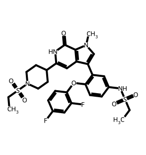 CCS(=O)(=O)Nc1ccc(Oc2ccc(F)cc2F)c(-c2cn(C)c3c(=O)[nH]c(C4CCN(S(=O)(=O)CC)CC4)cc23)c1